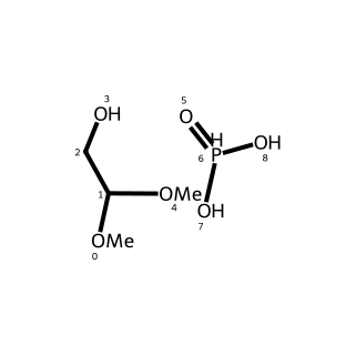 COC(CO)OC.O=[PH](O)O